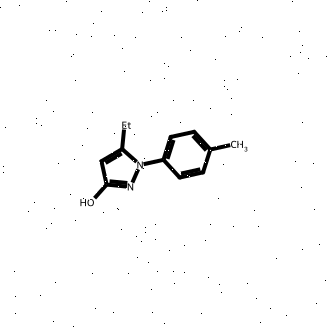 CCc1cc(O)nn1-c1ccc(C)cc1